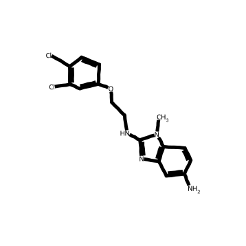 Cn1c(NCCOc2ccc(Cl)c(Cl)c2)nc2cc(N)ccc21